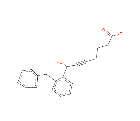 COC(=O)CCCC#CC(O)c1ccccc1Cc1ccccc1